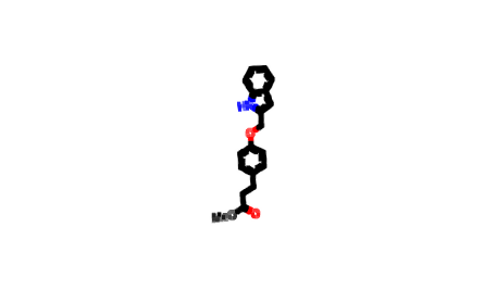 COC(=O)CCc1ccc(OCc2cc3ccccc3[nH]2)cc1